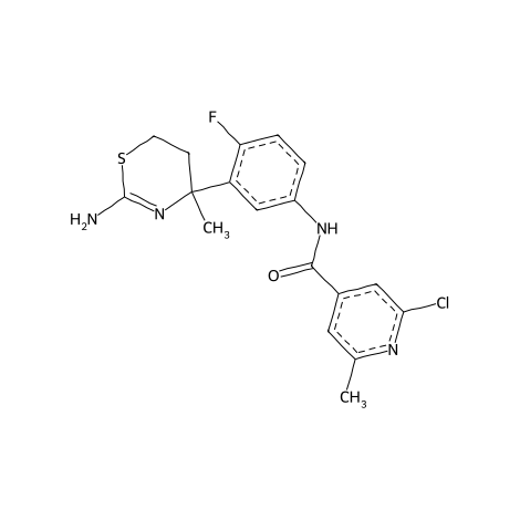 Cc1cc(C(=O)Nc2ccc(F)c(C3(C)CCSC(N)=N3)c2)cc(Cl)n1